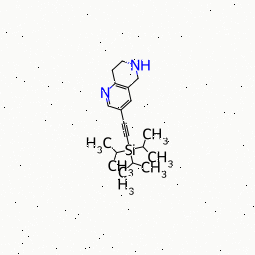 CC(C)[Si](C#Cc1cnc2c(c1)CNCC2)(C(C)C)C(C)C